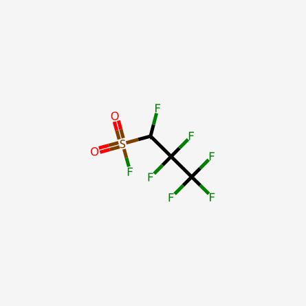 O=S(=O)(F)[C](F)C(F)(F)C(F)(F)F